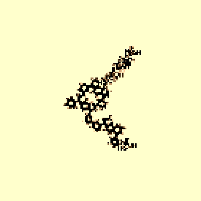 O=P(O)(O)F.O=P(O)(O)F.O=P(O)(O)F.O=P(O)(O)F.O=P(O)(O)F.O=P(O)(O)F.c1ccc(-c2ccnc3c2ccc2c(-c4ccccc4)ccnc23)cc1.c1ccc(-c2ccnc3c2ccc2c(-c4ccccc4)ccnc23)cc1.c1ccc(-c2ccnc3c2ccc2c(-c4ccccc4)ccnc23)cc1